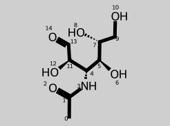 CC(=O)N[C@@H]([C@H](O)[C@H](O)CO)[C@@H](O)C=O